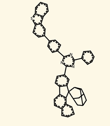 c1ccc(-c2nc(-c3ccc(-c4ccc5sc6ccccc6c5c4)cc3)nc(-c3ccc4c(c3)C3(c5c-4ccc4ccccc54)C4CC5CC(C4)CC3C5)n2)cc1